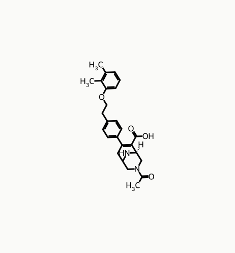 CC(=O)N1CC2CC(c3ccc(CCOc4cccc(C)c4C)cc3)=C(C(=O)O)[C@@H](C1)N2